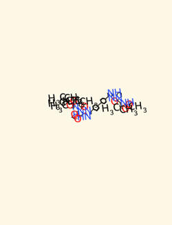 COC(=O)N[C@H](C(=O)N1CCC[C@H]1c1nc(-c2ccc(-c3ccc(-c4c[nH]c([C@@H]5CC6(CN5C(=O)[C@@H](NC(=O)OC(C)(C)C(C)(C)C)C(C)C)OCCO6)n4)cc3)cc2)c[nH]1)C(C)C